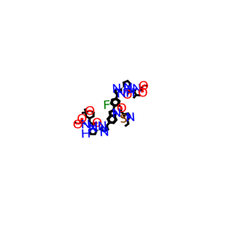 CCc1ncc(C2Oc3cc(-c4cnc([C@@H]5CCCN5C(=O)C(NC(=O)OC)C(C)C)[nH]4)cc(F)c3-c3cc4cc(-c5cnc([C@@H]6CCCN6C(=O)C(NC(=O)OC)C6CCOC(C)(C)C6)[nH]5)ccc4n32)s1